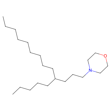 CCCCCCCCCC(CCCCC)CCCN1CCOCC1